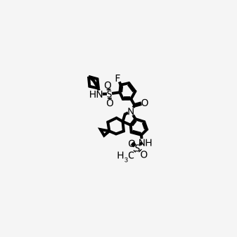 CS(=O)(=O)Nc1ccc2c(c1)C1(CCC3(CC3)CC1)CN2C(=O)c1ccc(F)c(S(=O)(=O)NC23CC(C2)C3)c1